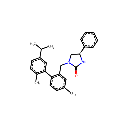 Cc1ccc(-c2cc(C(C)C)ccc2C)c(CN2C[C@@H](c3ccccc3)NC2=O)c1